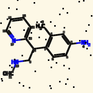 Cc1cc(N)ccc1C(CNC=O)c1ccccn1